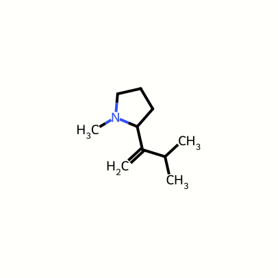 C=C(C(C)C)C1CCCN1C